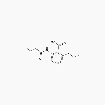 CCCc1cccc(NC(=O)OCC)c1C(=O)O